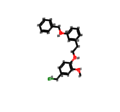 COc1cc(CCl)ccc1OCCc1cccc(OCc2ccccc2)c1